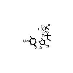 CCC(C)(OP(=O)(O)[C@@](C)(O)CC)C(C)[C@H]1O[C@@H](n2cc(I)c(N)nc2=O)[C@H](O)[C@@H]1O